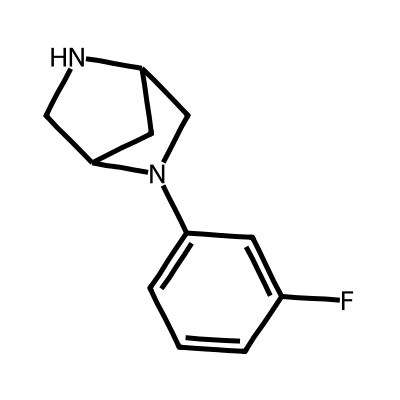 Fc1cccc(N2CC3CC2CN3)c1